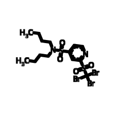 CCCCN(CCCC)S(=O)(=O)c1ccnc(S(=O)(=O)C(Br)(Br)Br)c1